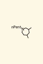 CCCCCN1CCC(C)CC(C)C1